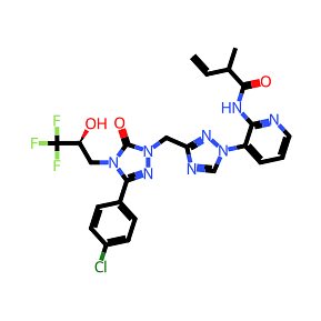 C=CC(C)C(=O)Nc1ncccc1-n1cnc(Cn2nc(-c3ccc(Cl)cc3)n(C[C@H](O)C(F)(F)F)c2=O)n1